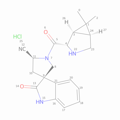 CC1(C)[C@@H]2[C@@H](C(=O)N3C[C@]4(C[C@H]3C#N)C(=O)Nc3ccccc34)NC[C@@H]21.Cl